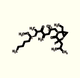 C=C(C[C@@H](C)CN(C(=O)C(F)(F)CC(C)C)C1(CC)CC1)C(=O)C(C)C[C@H](CCCCC)OC